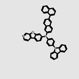 c1ccc2c(-c3ccc4cc(N(c5ccc(-n6c7ccccc7c7ccccc76)cc5)c5ccc6c(c5)oc5cnccc56)ccc4c3)cccc2c1